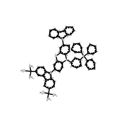 CC(C)(C)c1ccc2c(c1)c1cc(C(C)(C)C)ccc1n2-c1ccc2c(c1)Oc1cc(-n3c4ccccc4c4ccccc43)ccc1N2c1cccc([Si](c2ccccc2)(c2ccccc2)c2ccccc2)c1